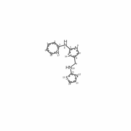 c1ccc(Nc2ncc(CNc3nccs3)s2)nc1